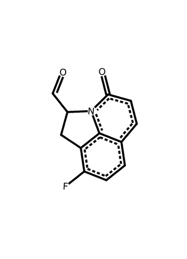 O=CC1Cc2c(F)ccc3ccc(=O)n1c23